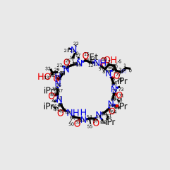 C/C=C/C[C@@H](C)[C@@H](O)[C@H]1C(=O)N[C@@H](CC)C(=O)N(C)[C@@H](CCN(C)C)C(=O)N(C)[C@@H](CC(C)(C)O)C(=O)N[C@@H](C(C)C)C(=O)N(C)[C@@H](CC(C)C)C(=O)N[C@@H](C)C(=O)N[C@H](C)C(=O)N(C)[C@@H](CC(C)C)C(=O)N(C)[C@@H](CC(C)C)C(=O)N(C)[C@@H](C(C)C)C(=O)N1C